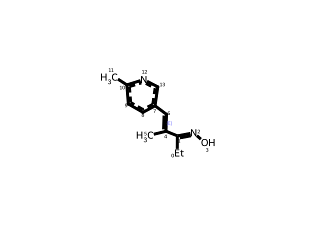 CCC(=NO)/C(C)=C/c1ccc(C)nc1